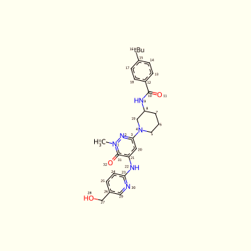 Cn1nc(N2CCCC(NC(=O)c3ccc(C(C)(C)C)cc3)C2)cc(Nc2ccc(CO)cn2)c1=O